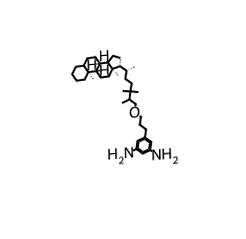 CC(COCCCc1cc(N)cc(N)c1)C(C)(C)CC[C@@H](C)[C@H]1CC[C@H]2[C@@H]3CCC4CCCC[C@]4(C)[C@H]3CC[C@]12C